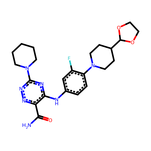 NC(=O)c1nnc(N2CCCCC2)nc1Nc1ccc(N2CCC(C3OCCO3)CC2)c(F)c1